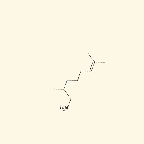 CC(C)=CCCCC(C)[CH2][AlH2]